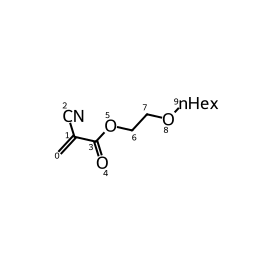 C=C(C#N)C(=O)OCCOCCCCCC